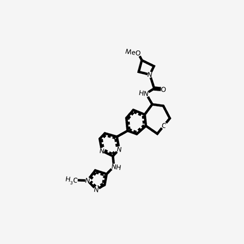 COC1CN(C(=O)NC2CCCCc3cc(-c4ccnc(Nc5cnn(C)c5)n4)ccc32)C1